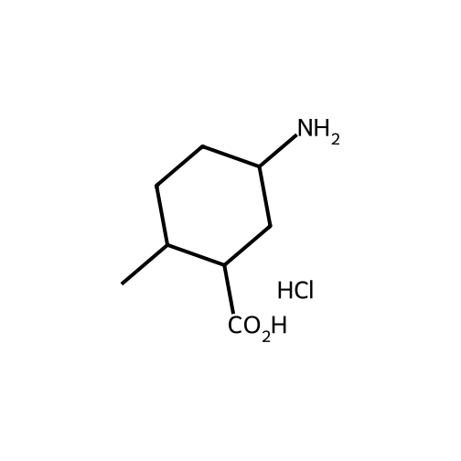 CC1CCC(N)CC1C(=O)O.Cl